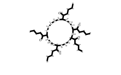 CCCCC(Cl)C1CCCCCC(C(Cl)CCCC)CCCC(C(Cl)CCCC)OC(C(Cl)CCCC)CCCC(C(Cl)CCCC)CCC1